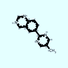 Cc1cnc(-c2ccc3ncncc3c2)nc1